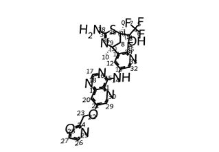 C[C@]1([C@@H](O)C(F)(F)F)C[C@@](C)(c2cc(Nc3ncnc4cc(OCc5ncco5)cnc34)cnc2F)N=C(N)S1